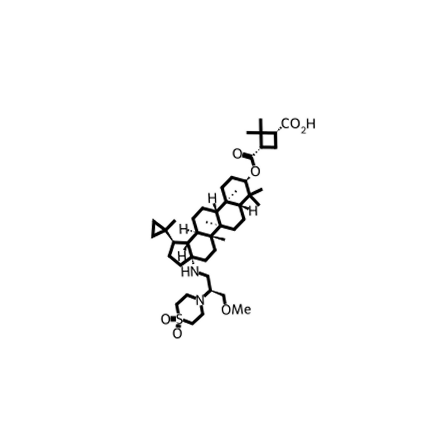 COC[C@H](CN[C@]12CC[C@@H](C3(C)CC3)[C@@H]1[C@H]1CC[C@@H]3[C@@]4(C)CC[C@H](OC(=O)[C@H]5C[C@@H](C(=O)O)C5(C)C)C(C)(C)[C@@H]4CC[C@@]3(C)[C@]1(C)CC2)N1CCS(=O)(=O)CC1